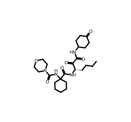 CCCC[C@H](NC(=O)C1(NC(=O)N2CCOCC2)CCCCC1)C(=O)C(=O)NC1CCC(=O)CC1